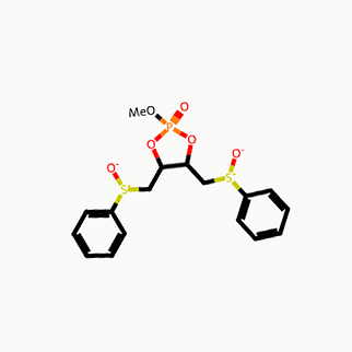 COP1(=O)OC(C[S+]([O-])c2ccccc2)C(C[S+]([O-])c2ccccc2)O1